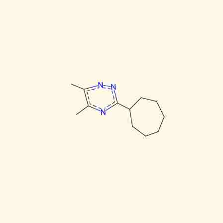 Cc1nnc(C2CCCCCC2)nc1C